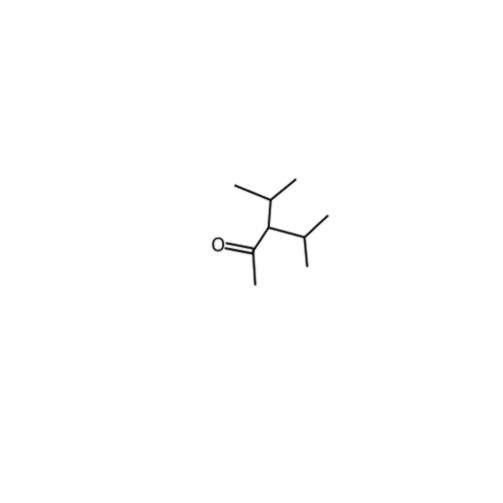 CC(=O)C(C(C)C)C(C)C